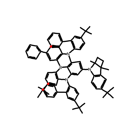 CC(C)(C)c1ccc(N2c3ccc(-c4ccccc4)cc3B3c4ccc(C(C)(C)C)cc4N(c4ccc(C(C)(C)C)cc4-c4ccccc4)c4cc(N5c6ccc(C(C)(C)C)cc6C6(C)CCC56C)cc2c43)c(-c2ccccc2)c1